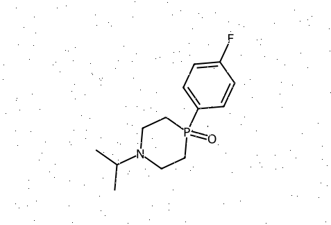 CC(C)N1CCP(=O)(c2ccc(F)cc2)CC1